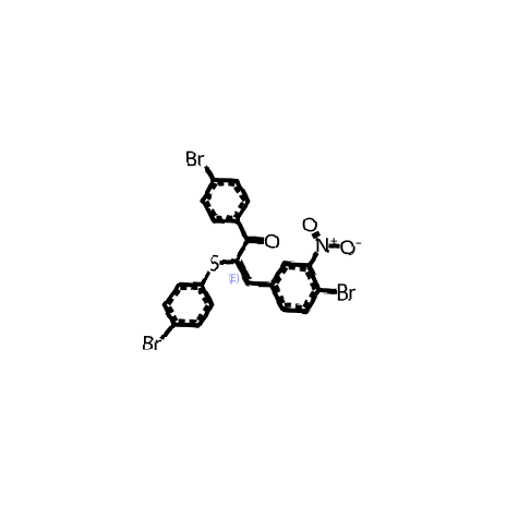 O=C(/C(=C\c1ccc(Br)c([N+](=O)[O-])c1)Sc1ccc(Br)cc1)c1ccc(Br)cc1